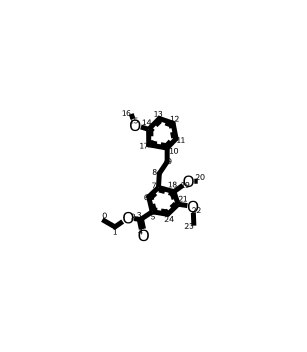 CCOC(=O)c1cc(CCc2cccc(OC)c2)c(OC)c(OC)c1